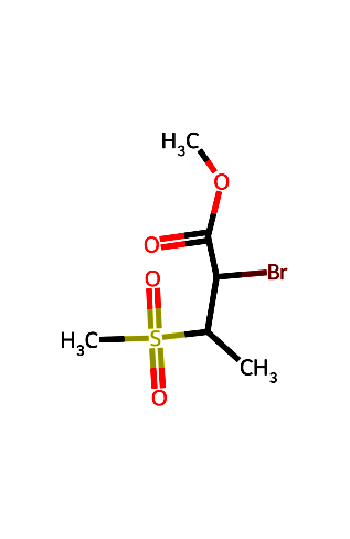 COC(=O)C(Br)C(C)S(C)(=O)=O